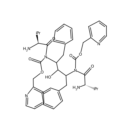 CC(C)[C@H](N)C(=O)N(C(=O)OCc1ccccn1)C(Cc1ccccc1)C(O)C(Cc1ccccc1)N(C(=O)OCc1ccccn1)C(=O)[C@@H](N)C(C)C